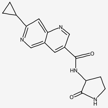 O=C(NC1CCNC1=O)c1cnc2cc(C3CC3)ncc2c1